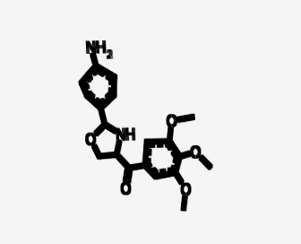 COc1cc(C(=O)C2COC(c3ccc(N)cc3)N2)cc(OC)c1OC